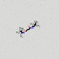 CCC(C)(C)CCNC(=O)CCCO/N=C(/C)C(C)(C)C